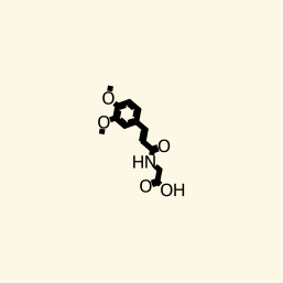 COc1ccc(C=CC(=O)NCC(=O)O)cc1OC